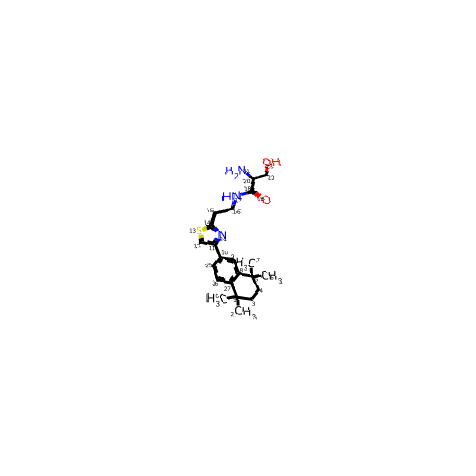 CC1(C)CCC(C)(C)c2cc(-c3csc(CCNC(=O)C(N)CO)n3)ccc21